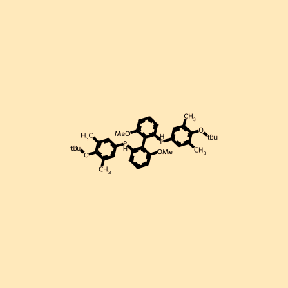 COc1cccc(Pc2cc(C)c(OC(C)(C)C)c(C)c2)c1-c1c(OC)cccc1Pc1cc(C)c(OC(C)(C)C)c(C)c1